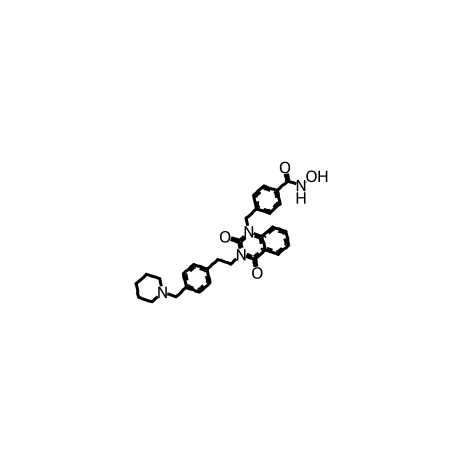 O=C(NO)c1ccc(Cn2c(=O)n(CCc3ccc(CN4CCCCC4)cc3)c(=O)c3ccccc32)cc1